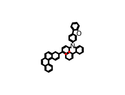 C1=CCC(C2=CCCC=C2)C(N(c2ccc3c(c2)oc2ccccc23)C2C=CC(C3C=Cc4c(ccc5ccc6ccccc6c45)C3)=CC2)=C1